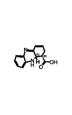 O=C(O)[C@@H]1CC=CC2=Nc3ccccc3N[C@H]21